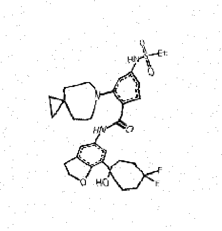 CCS(=O)(=O)Nc1ccc(C(=O)Nc2cc3c(c(C4(O)CCC(F)(F)CC4)c2)OCC3)c(N2CCC3(CC2)CC3)c1